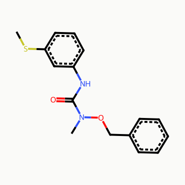 CSc1cccc(NC(=O)N(C)OCc2ccccc2)c1